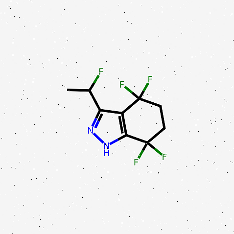 CC(F)c1n[nH]c2c1C(F)(F)CCC2(F)F